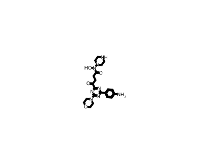 Nc1ccc(-c2nc(C(=O)CCC(=O)N(O)N3CCNCC3)nc(N3CCOCC3)n2)cc1